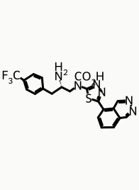 N[C@@H](Cc1ccc(C(F)(F)F)cc1)CN(C(=O)O)c1nnc(-c2cccc3cnncc23)s1